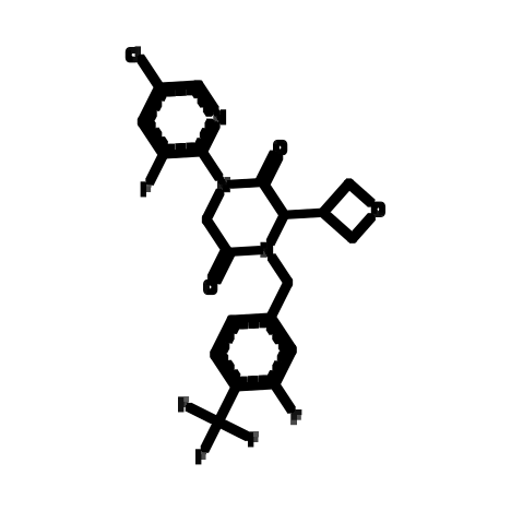 O=C1C(C2COC2)N(Cc2ccc(C(F)(F)F)c(F)c2)C(=O)CN1c1ncc(Cl)cc1F